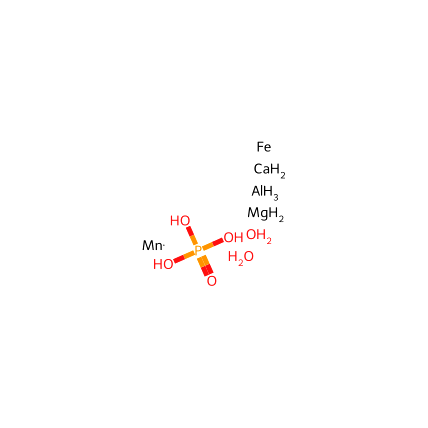 O.O.O=P(O)(O)O.[AlH3].[CaH2].[Fe].[MgH2].[Mn]